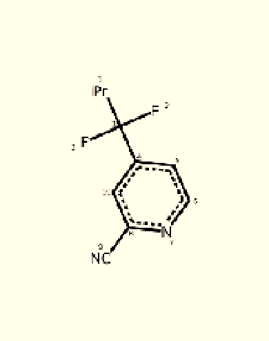 CC(C)C(F)(F)c1ccnc(C#N)c1